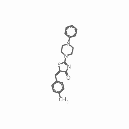 Cc1ccc(C=C2SC(N3CCN(c4ccccc4)CC3)=NC2=O)cc1